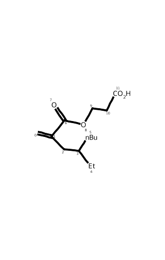 C=C(CC(CC)CCCC)C(=O)OCCC(=O)O